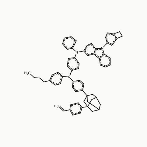 C=Cc1ccc(C23CC4CC(C2)CC(c2ccc(N(c5ccc(CCCC)cc5)c5ccc(N(c6ccccc6)c6ccc7c(c6)c6ccccc6n7-c6ccc7c(c6)CC7)cc5)cc2)(C4)C3)cc1